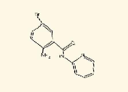 Nc1ccc(Br)cc1C(=O)Nc1ccccn1